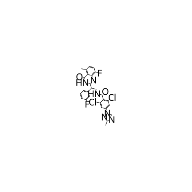 Cc1ncn(-c2cc(Cl)c(C(=O)NCC(c3cccc(F)c3)c3nc4c(F)ccc(C)c4c(=O)[nH]3)c(Cl)c2)n1